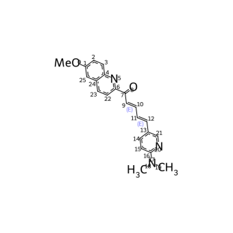 COc1ccc2nc(C(=O)/C=C/C=C/c3ccc(N(C)C)nc3)ccc2c1